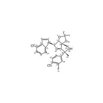 CC1(C)OC2[C@H](n3ccc4c(Cl)ncnc43)O[C@H]([C@](C)(O)c3ccc(Cl)c(F)c3)[C@H]2O1